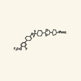 CCCCCC1CCC(C2COC(C3CCC(C(F)(F)OC4CCC(c5ccc(OC(F)(F)F)c(F)c5)CC4)CC3)OC2)CC1